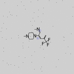 C=C(/C=C(\C=N/C)N1CCN(C)CC1)C(F)(F)F